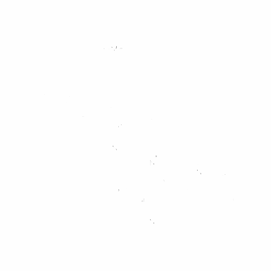 COc1cc(C(=O)Nc2nc(-c3ccccn3)c(C#N)s2)cc(C(F)(F)F)c1